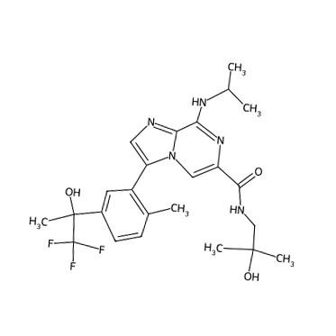 Cc1ccc(C(C)(O)C(F)(F)F)cc1-c1cnc2c(NC(C)C)nc(C(=O)NCC(C)(C)O)cn12